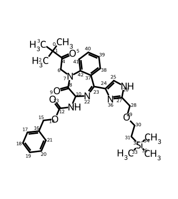 CC(C)(C)C(=O)CN1C(=O)C(NC(=O)OCc2ccccc2)N=C(c2c[nH]c(COCC[Si](C)(C)C)n2)c2ccccc21